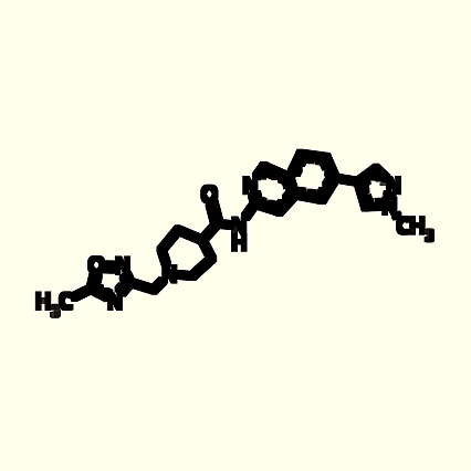 Cc1nc(CN2CCC(C(=O)Nc3cc4cc(-c5cnn(C)c5)ccc4cn3)CC2)no1